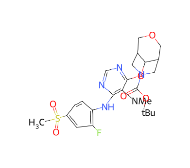 CNc1c(Nc2ccc(S(C)(=O)=O)cc2F)ncnc1OC1C2COCC1CN(C(=O)OC(C)(C)C)C2